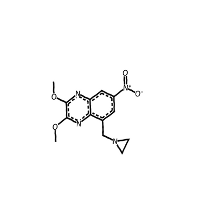 COc1nc2cc([N+](=O)[O-])cc(CN3CC3)c2nc1OC